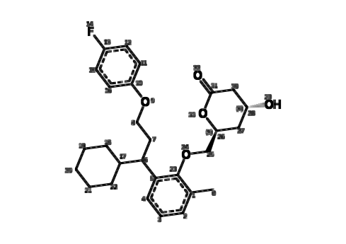 Cc1cccc(C(CCOc2ccc(F)cc2)C2CCCCC2)c1OC[C@@H]1C[C@@H](O)CC(=O)O1